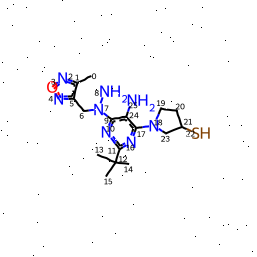 Cc1nonc1CN(N)c1nc(C(C)(C)C)nc(N2CCC(S)C2)c1N